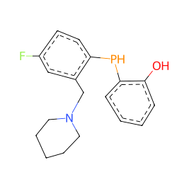 Oc1ccccc1Pc1ccc(F)cc1CN1CCCCC1